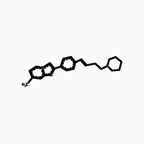 Cc1ccn2cc(-c3ccc(C=CCCN4CCCCC4)cc3)nc2c1